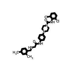 Cc1ccc(CNCC(=O)Nc2ccc(N3CCN(C(=O)Nc4c(Cl)cccc4Cl)CC3)cc2)c(C)c1